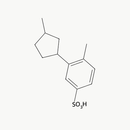 Cc1ccc(S(=O)(=O)O)cc1C1CCC(C)C1